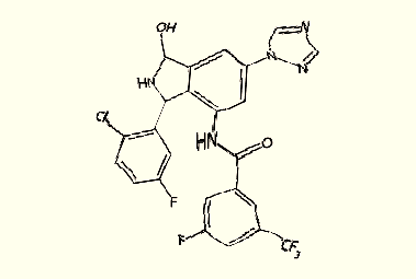 O=C(Nc1cc(-n2cncn2)cc2c1C(c1cc(F)ccc1Cl)NC2O)c1cc(F)cc(C(F)(F)F)c1